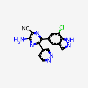 N#Cc1nc(-c2cc(Cl)c3[nH]ncc3c2)c(-c2ccnnc2)nc1N